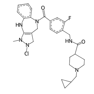 CN1C2=C(CN(C(=O)c3ccc(CNC(=O)C4CCN(CC5CC5)CC4)c(F)c3)c3ccccc3N2)CN1Cl